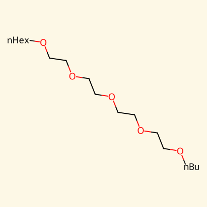 CCCCCCOCCOCCOCCOCCOCCCC